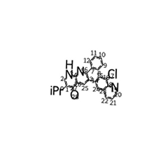 CC(C)c1c[nH]c2nc(-c3ccccc3)c(-c3cc(Cl)c4ncccc4c3)cc2c1=O